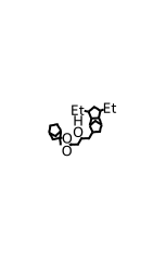 CCC1CC(CC)C2C3CC(CC3CC(O)CC(=O)OC3(C)CC4CCC3C4)C12